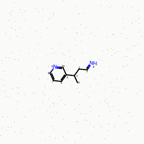 CC(CC=N)c1cccnc1